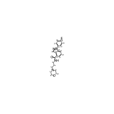 O=C(NCCCN1CCOCC1)c1cccc2c1cnn2-c1ccc(F)cc1